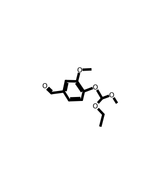 CCOC(OC)Oc1ccc(C=O)cc1OC